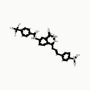 O=C(Nc1ccc2c(CC=Cc3ccc([N+](=O)[O-])cc3)n[nH]c(=O)c2c1)c1ccc(C(F)(F)F)cc1